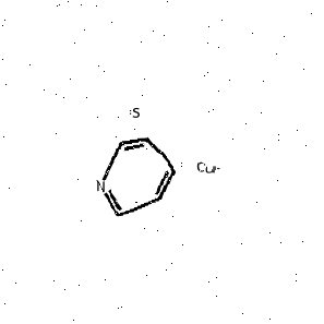 [Cu].[S].c1ccncc1